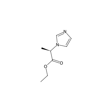 CCOC(=O)[C@@H](C)n1ccnc1